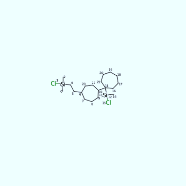 C[Si](C)(Cl)CCC1CCCC(C2([Si](C)(C)Cl)CCCCCC2)CC1